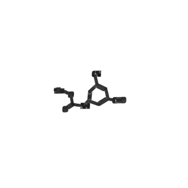 CC(C)(C)OC(=O)Nc1cc(C#N)cc(C=O)c1